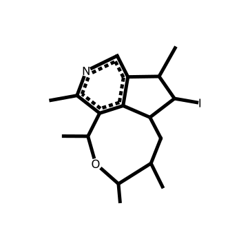 Cc1ncc2c3c1C(C)OC(C)C(C)CC3C(I)C2C